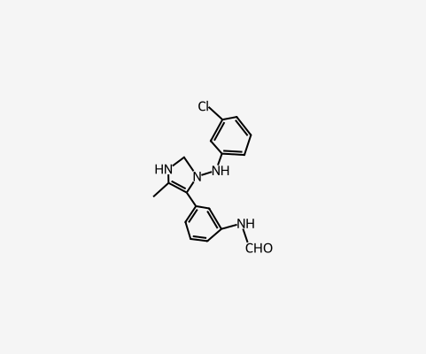 CC1=C(c2cccc(NC=O)c2)N(Nc2cccc(Cl)c2)CN1